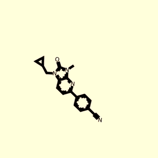 Cn1c(=O)n(CC2CC2)c2ccc(-c3ccc(C#N)cc3)nc21